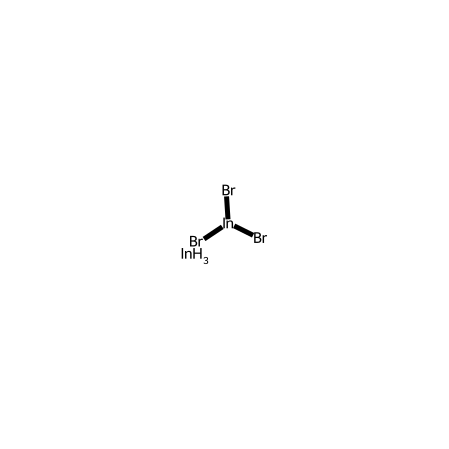 [Br][In]([Br])[Br].[InH3]